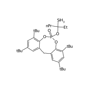 CCCC([SiH3])(CC)OP1(=O)Oc2c(cc(C(C)(C)C)cc2C(C)(C)C)Cc2cc(C(C)(C)C)cc(C(C)(C)C)c2O1